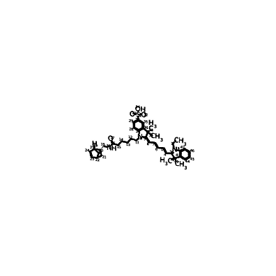 CC[N+]1=C(/C=C/C=C/C=C2/N(CCCCCC(=O)NC[C@@H]3CC4C=C[C@H]3C4)c3ccc(S(=O)(=O)O)cc3C2(C)C)C(C)(C)c2ccccc21